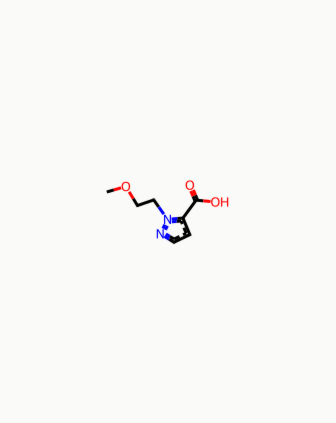 COCCn1nccc1C(=O)O